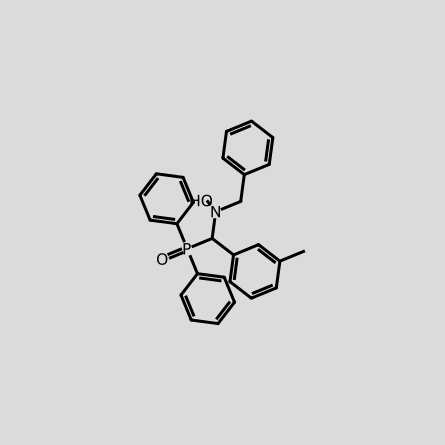 Cc1cccc(C(N(O)Cc2ccccc2)P(=O)(c2ccccc2)c2ccccc2)c1